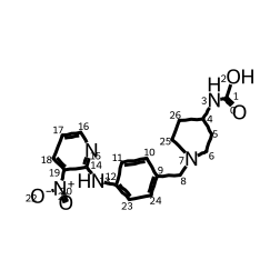 O=C(O)NC1CCN(Cc2ccc(Nc3ncccc3[N+](=O)[O-])cc2)CC1